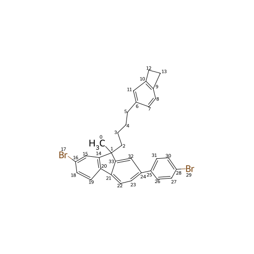 CC1(CCCCc2ccc3c(c2)CC3)c2cc(Br)ccc2-c2ccc(-c3ccc(Br)cc3)cc21